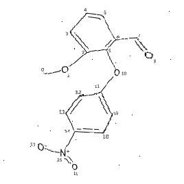 COc1cccc(C=O)c1Oc1ccc([N+](=O)[O-])cc1